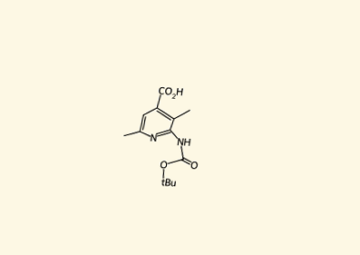 Cc1cc(C(=O)O)c(C)c(NC(=O)OC(C)(C)C)n1